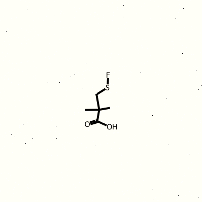 CC(C)(CSF)C(=O)O